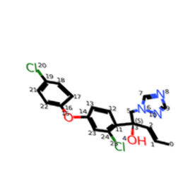 CC=C[C@@](O)(Cn1cncn1)c1ccc(Oc2ccc(Cl)cc2)cc1Cl